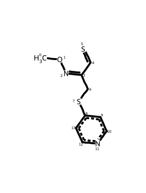 CON=C(C=S)CSc1ccncc1